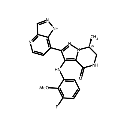 COc1c(F)cccc1Nc1c(-c2ccnc3cn[nH]c23)nn2c1C(=O)NC[C@@H]2C